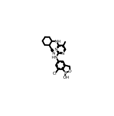 Cc1cnc(Nc2cc(Cl)c3c(c2)COB3O)nc1NC1CCCCC1C#N